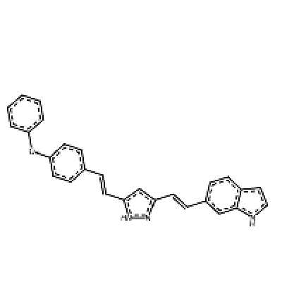 C(=Cc1cc(C=Cc2ccc3cc[nH]c3c2)n[nH]1)c1ccc(Oc2ccccc2)cc1